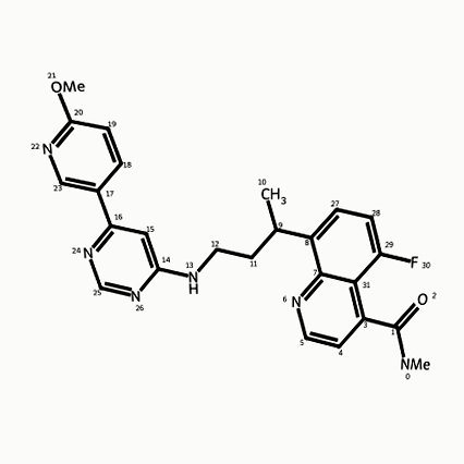 CNC(=O)c1ccnc2c(C(C)CCNc3cc(-c4ccc(OC)nc4)ncn3)ccc(F)c12